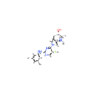 Cc1cc(C)cc(Nc2ncc(F)c(-n3cc(C)c(N(C)[C@@H](C)CO)c3)n2)c1